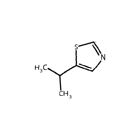 CC(C)c1cn[c]s1